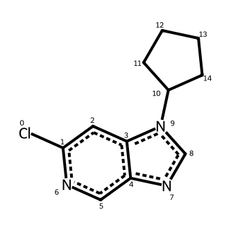 Clc1cc2c(cn1)ncn2C1CCCC1